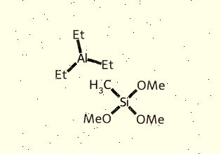 CO[Si](C)(OC)OC.C[CH2][Al]([CH2]C)[CH2]C